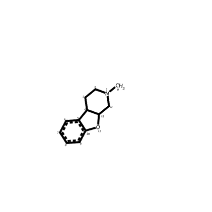 CN1CCC2c3ccccc3OC2C1